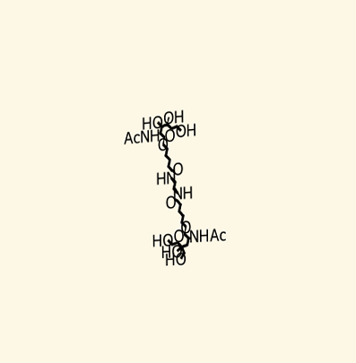 CC(=O)NC1CC(O)(CO)C(CO)O[C@H]1OCCCCC(=O)NCCNC(=O)CCCCO[C@@H]1OC(CO)[C@H](O)C(O)C1NC(C)=O